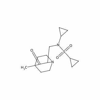 CC12CCN(CC1)C(CN(C1CC1)S(=O)(=O)C1CC1)C2=O